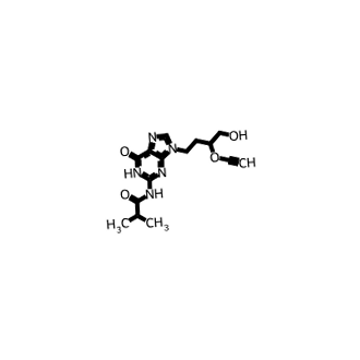 C#COC(CO)CCn1cnc2c(=O)[nH]c(NC(=O)C(C)C)nc21